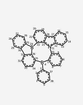 c1ccc(B2c3ccccc3-n3c4ccccc4c4cccc(c43)B3c4ccccc4-c4cccc2c43)cc1